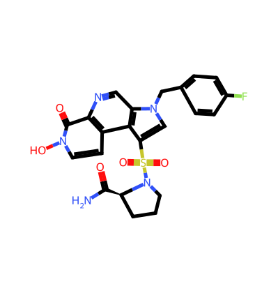 NC(=O)[C@@H]1CCCN1S(=O)(=O)c1cn(Cc2ccc(F)cc2)c2cnc3c(=O)n(O)ccc3c12